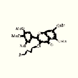 COc1cc(OC)c2c(=O)c(OCCCCBr)c(-c3cc(OC)c(OC)c(OC)c3)oc2c1